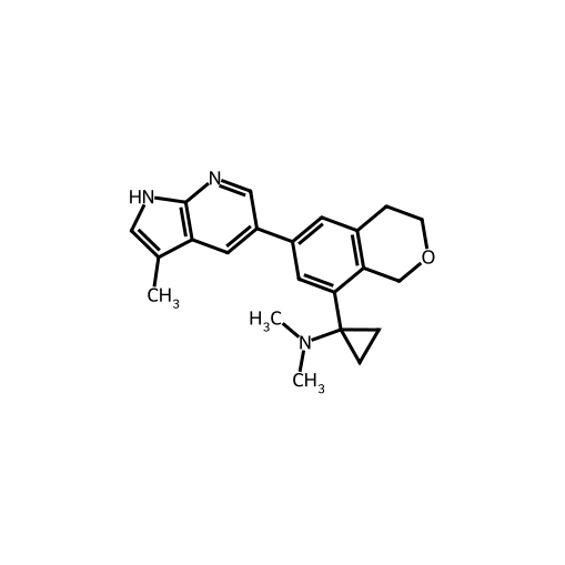 Cc1c[nH]c2ncc(-c3cc4c(c(C5(N(C)C)CC5)c3)COCC4)cc12